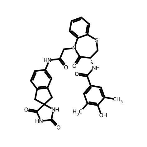 Cc1cc(C(=O)N[C@H]2CSc3ccccc3N(CC(=O)Nc3ccc4c(c3)CC3(C4)NC(=O)NC3=O)C2=O)cc(C)c1O